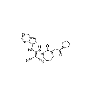 N#CC(C#N)=C(Nc1ccc2coccc1-2)N[C@H]1CCCCN(CC(=O)N2CCCC2)C1=O